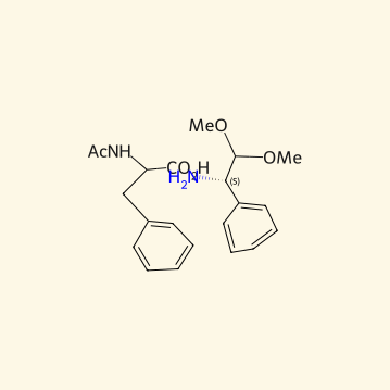 CC(=O)NC(Cc1ccccc1)C(=O)O.COC(OC)[C@@H](N)c1ccccc1